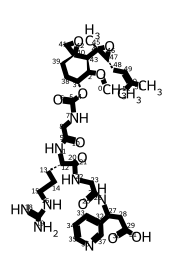 COC1[C@H](OC(=O)NCC(=O)N[C@@H](CCCNC(=N)N)C(=O)NCC(=O)NC(CC(=O)O)c2cccnc2)CC[C@]2(CO2)[C@H]1[C@@]1(C)O[C@@H]1CC=C(C)C